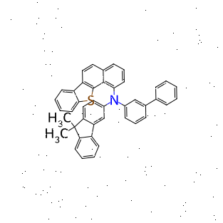 CC1(C)c2ccccc2-c2cc(N(c3cccc(-c4ccccc4)c3)c3cccc4ccc5c6ccccc6sc5c34)ccc21